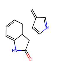 C=C1C=CN=C1.O=C1CC2CC=CC=C2N1